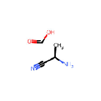 CC(N)C#N.O=CO